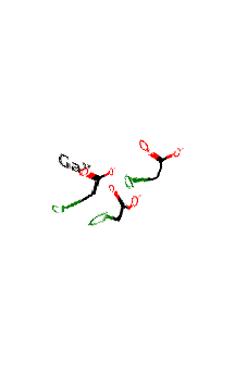 O=C([O-])CCl.O=C([O-])CCl.O=C([O-])CCl.[Ga+3]